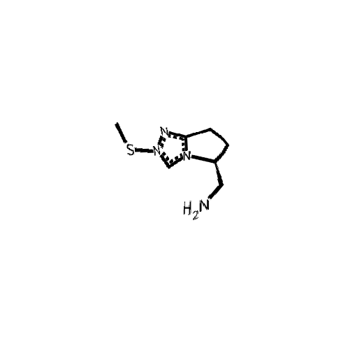 CS[n+]1cn2c(n1)CC[C@H]2CN